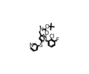 CN(Cc1cc(Sc2cccnc2)n(-c2cccc(F)c2Cl)n1)C(=O)OC(C)(C)C